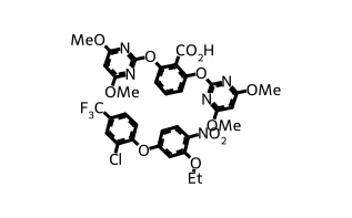 CCOc1cc(Oc2ccc(C(F)(F)F)cc2Cl)ccc1[N+](=O)[O-].COc1cc(OC)nc(Oc2cccc(Oc3nc(OC)cc(OC)n3)c2C(=O)O)n1